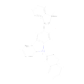 CC1(C)c2ccccc2-c2c1oc1cc3c(cc21)c1ccccc1n3-c1ccc2ccccc2c1